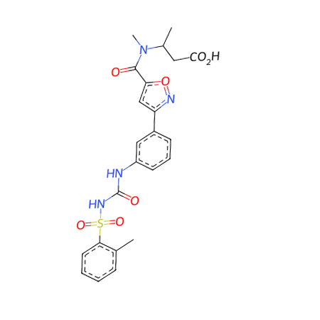 Cc1ccccc1S(=O)(=O)NC(=O)Nc1cccc(-c2cc(C(=O)N(C)C(C)CC(=O)O)on2)c1